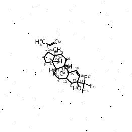 CC(=O)[C@H]1CC[C@H]2[C@@H]3CCC4CC(O)(C(F)(F)F)C=C[C@]4(C)[C@H]3CC[C@]12C